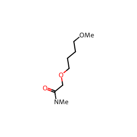 CNC(=O)COCCCCOC